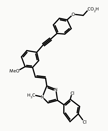 COc1ccc(C#Cc2ccc(OCC(=O)O)cc2)cc1/C=C/c1nc(-c2ccc(Cl)cc2Cl)cn1C